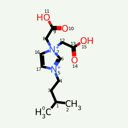 CC(C)CC[N+]1=C[N+](CC(=O)O)(CC(=O)O)C=C1